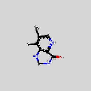 Cc1c(C(C)C)cnc2c1NCNC2=O